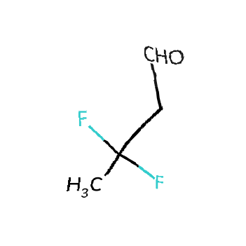 CC(F)(F)CC=O